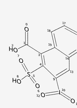 O=C(O)c1c(S(=O)(=O)O)c(I(=O)=O)cc2ccccc12